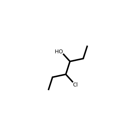 CCC(O)C(Cl)CC